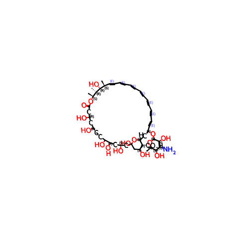 C[C@@H]1[C@H](O)[C@@H](C)/C=C/C=C/C=C/C=C/C=C/C=C/C=C/[C@H](O[C@@H]2O[C@H](C)[C@@H](O)[C@H](N)[C@@H]2O)C[C@@H]2OC(O)(C[C@@H](O)C[C@@H](O)C(O)CC[C@@H](O)C[C@@H](O)CC(=O)O[C@H]1C)C[C@H](O)[C@H]2C(=O)O